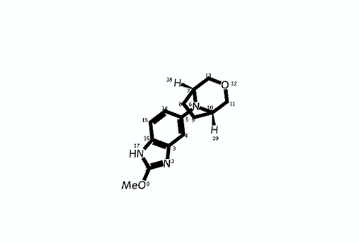 COc1nc2cc(N3[C@@H]4CC[C@H]3COC4)ccc2[nH]1